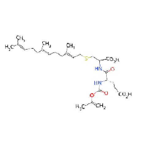 C=C(C)OC(=O)N[C@@H](CCC(=O)O)C(=O)N[C@@H](CSC/C=C(\C)CC/C=C(\C)CCC=C(C)C)C(=O)O